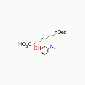 CCCCCCCCCCCCCCCCC(O)C(=O)O.CN(C)c1ccccc1